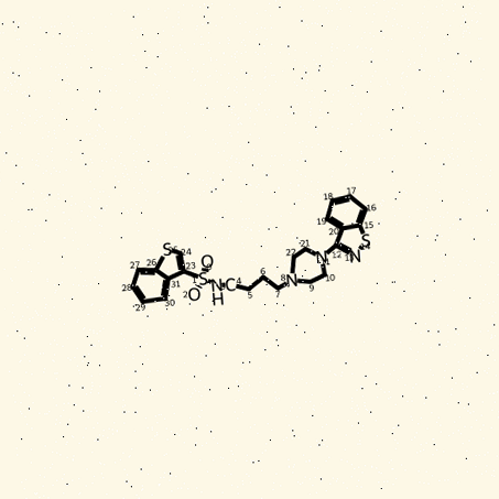 O=S(=O)(NCCCCN1CCN(c2nsc3ccccc23)CC1)c1csc2ccccc12